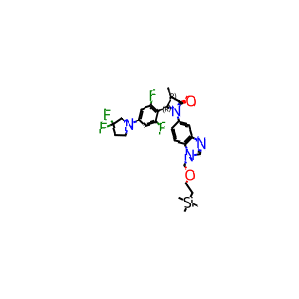 C[C@H]1C(=O)N(c2ccc3c(c2)ncn3COCC[Si](C)(C)C)[C@H]1c1c(F)cc(N2CCC(F)(F)C2)cc1F